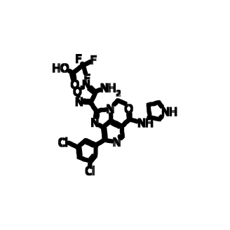 CCn1c(-c2nonc2N)nc2c(-c3cc(Cl)cc(Cl)c3)ncc(C(=O)NC3CCNC3)c21.O=C(O)C(F)(F)F